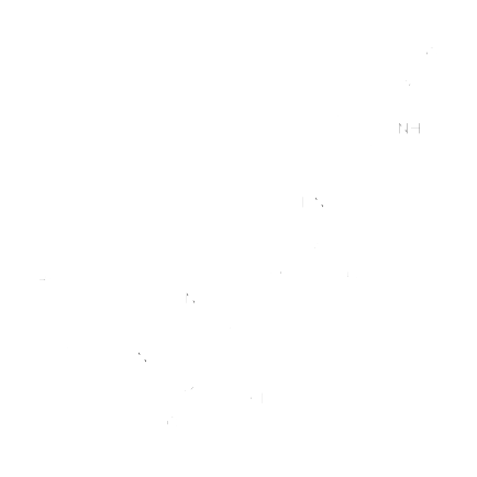 Cc1c(COC(=O)NCC2CCC(=O)N2)nc2cc(Br)ccn2c1=O